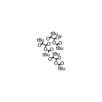 CC(C)(C)C(=O)OC(=O)C(=O)C(C)(C)C.CC(C)(C)C(=O)OC(=O)C(=O)C(C)(C)C.CC(C)(C)C(=O)OC(=O)C(=O)C(C)(C)C.[Ir]